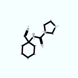 O=CC1(NC(=O)N2CCSC2)CCCCC1